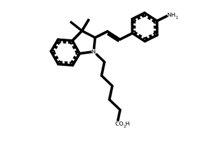 CC1(C)c2ccccc2N(CCCCCC(=O)O)C1/C=C/c1ccc(N)cc1